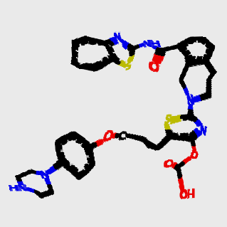 O=C(O)Oc1nc(N2CCc3cccc(C(=O)Nc4nc5ccccc5s4)c3C2)sc1CCCOc1ccc(N2CCNCC2)cc1